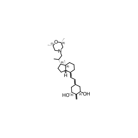 C=C1[C@H](O)CC(=CC=C2CCC[C@]3(C)[C@@H](C(C)CN4C[C@@H](C)O[C@@H](C)C4)CC[C@@H]23)C[C@H]1O